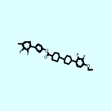 CCOc1ccc(C2CCC(C3CCC(C(=O)Oc4ccc(-c5ccc(C)c(F)c5F)cc4)CC3)CC2)c(F)c1F